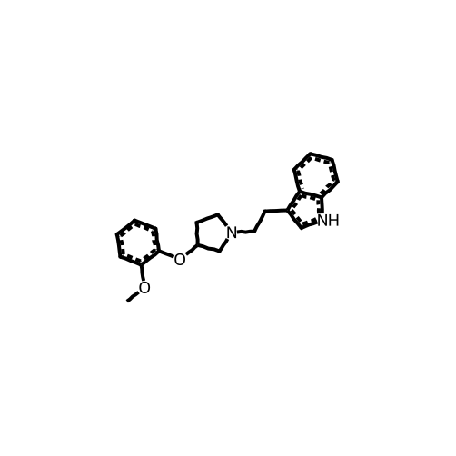 COc1ccccc1OC1CCN(CCc2c[nH]c3ccccc23)C1